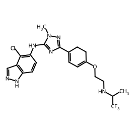 CC(NCCOC1=CC=C(c2nc(Nc3ccc4[nH]ncc4c3Cl)n(C)n2)CC1)C(F)(F)F